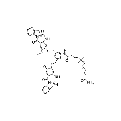 COc1cc2c(cc1OCc1cc(COc3cc4c(cc3OC)C(=O)N3c5ccccc5C[C@H]3CN4)cc(NC(=O)CCCC(C)(C)SSCCCC(N)=O)c1)NC[C@@H]1Cc3ccccc3N1C2=O